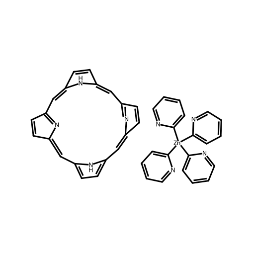 C1=Cc2cc3ccc(cc4nc(cc5ccc(cc1n2)[nH]5)C=C4)[nH]3.c1cc[c]([Zn]([c]2ccccn2)([c]2ccccn2)[c]2ccccn2)nc1